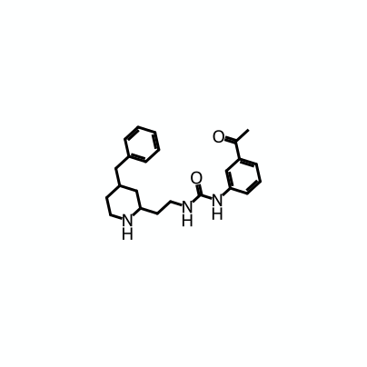 CC(=O)c1cccc(NC(=O)NCCC2CC(Cc3ccccc3)CCN2)c1